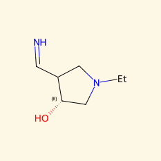 CCN1CC(C=N)[C@@H](O)C1